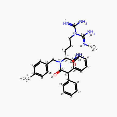 N=C(N)N(CCC[C@H](C(N)=O)N(Cc1ccc(C(=O)O)cc1)C(=O)C(c1ccccc1)c1ccccc1)C(N)=N[N+](=O)[O-]